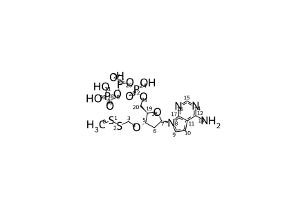 CSSCO[C@H]1C[C@H](n2ccc3c(N)ncnc32)O[C@@H]1COP(=O)(O)O[PH](=O)OP(=O)(O)O